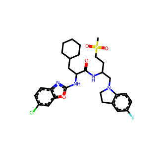 CS(=O)(=O)CCC(CN1CCc2cc(F)ccc21)NC(=O)C(CC1CCCCC1)Nc1nc2ccc(Cl)cc2o1